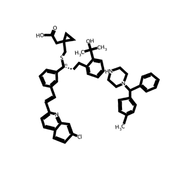 CC(C)(O)c1ccccc1CC[C@@H](SCC1(CC(=O)O)CC1)c1cccc(C=Cc2ccc3ccc(Cl)cc3n2)c1.Cc1ccc(C(c2ccccc2)N2CCNCC2)cc1